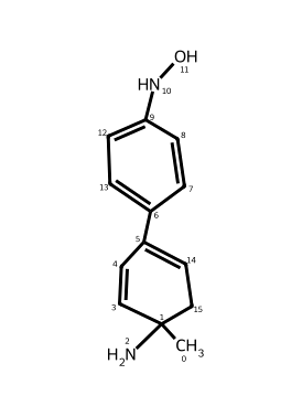 CC1(N)C=CC(c2ccc(NO)cc2)=CC1